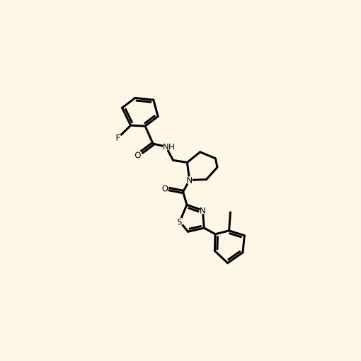 Cc1ccccc1-c1csc(C(=O)N2CCCCC2CNC(=O)c2ccccc2F)n1